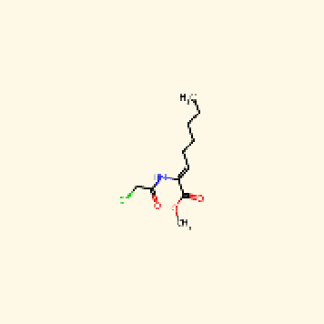 CCCCCC=C(NC(=O)CCl)C(=O)OC